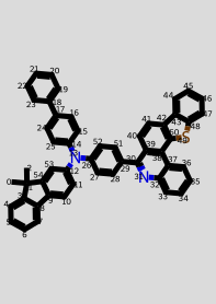 CC1(C)c2ccccc2-c2ccc(N(c3ccc(-c4ccccc4)cc3)c3ccc(-c4nc5ccccc5c5c4ccc4c6ccccc6sc45)cc3)cc21